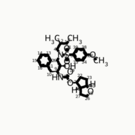 CC[C@H](C)CN(C[C@@H](O)[C@H](Cc1ccccc1)NC(=O)O[C@H]1CC[C@H]2OCC[C@@H]12)S(=O)(=O)c1ccc(OC)cc1